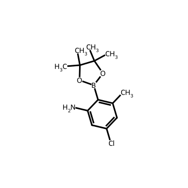 Cc1cc(Cl)cc(N)c1B1OC(C)(C)C(C)(C)O1